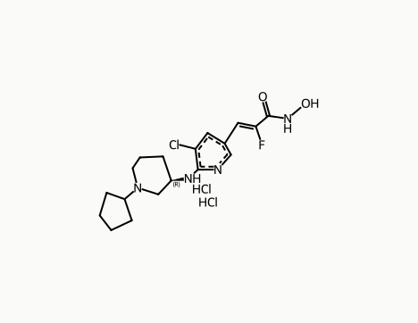 Cl.Cl.O=C(NO)C(F)=Cc1cnc(N[C@@H]2CCCN(C3CCCC3)C2)c(Cl)c1